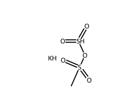 CS(=O)(=O)O[SH](=O)=O.[KH]